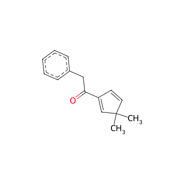 CC1(C)C=CC(C(=O)Cc2ccccc2)=C1